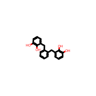 Oc1cccc(Cc2ccccc2Cc2cccc(O)c2O)c1O